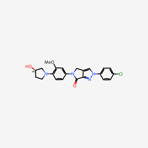 COc1cc(N2Cc3cn(-c4ccc(Cl)cc4)nc3C2=O)ccc1N1CC[C@@H](O)C1